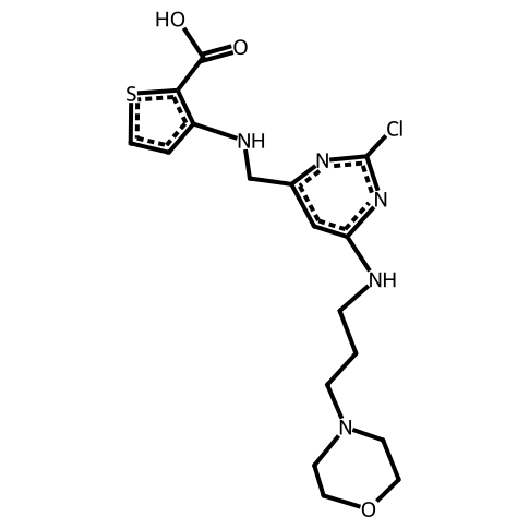 O=C(O)c1sccc1NCc1cc(NCCCN2CCOCC2)nc(Cl)n1